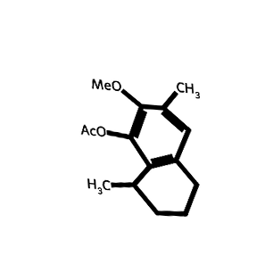 COc1c(C)cc2c(c1OC(C)=O)C(C)CCC2